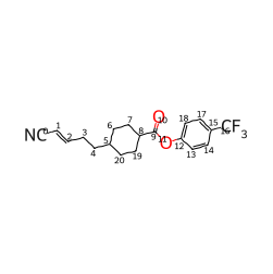 N#C/C=C/CCC1CCC(C(=O)Oc2ccc(C(F)(F)F)cc2)CC1